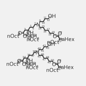 CCCCCCCCOC(CCCCCN(CCCCO)CCCCCCOC(=O)C(CCCCCC)CCCCCCCC)O[Si](C)(C)CCCCCCCC.CCCCCCCCOC(CCCCCN(CCCCO)CCCCCCOC(=O)C(CCCCCC)CCCCCCCC)O[Si](C)(C)CCCCCCCC